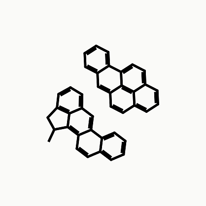 CC1Cc2cccc3cc4c(ccc5ccccc54)c1c23.c1ccc2c(c1)cc1ccc3cccc4ccc2c1c34